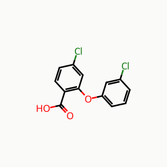 O=C(O)c1ccc(Cl)cc1Oc1cccc(Cl)c1